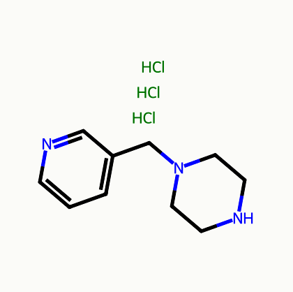 Cl.Cl.Cl.c1cncc(CN2CCNCC2)c1